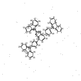 c1ccc2c(c1)c1ccccc1n2-c1ccc(-c2ccc(-c3ccc(-n4c5ccccc5c5ccccc54)cc3)c3sc(-n4c5ccccc5c5ccccc54)nc23)cc1